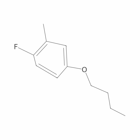 CCCCOc1ccc(F)c(C)c1